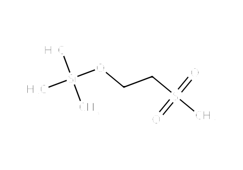 C[Si](C)(C)OCCS(C)(=O)=O